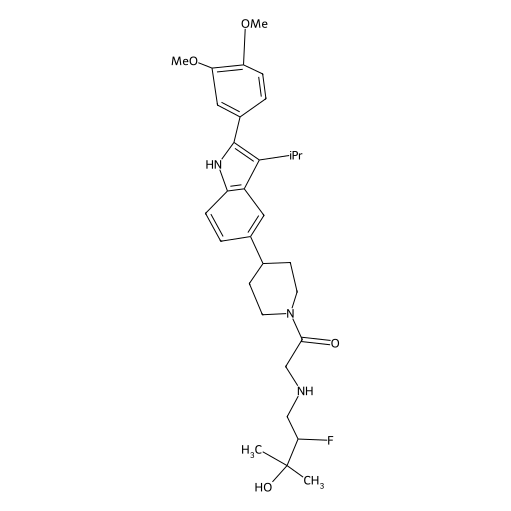 COc1ccc(-c2[nH]c3ccc(C4CCN(C(=O)CNCC(F)C(C)(C)O)CC4)cc3c2C(C)C)cc1OC